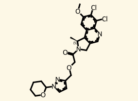 COc1cc2c3c(cnc2c(Cl)c1Cl)CN(C(=O)COCc1ccn(C2CCCCO2)n1)[C@H]3C